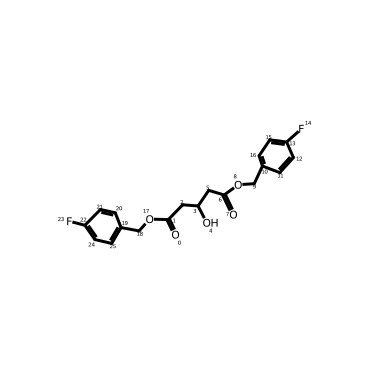 O=C(CC(O)CC(=O)OCc1ccc(F)cc1)OCc1ccc(F)cc1